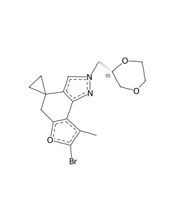 Cc1c(Br)oc2c1-c1nn(C[C@H]3COCCO3)cc1C1(CC1)C2